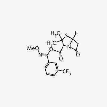 CO/N=C(\OC(=O)[C@@H]1N2C(=O)C[C@H]2SC1(C)C)c1cccc(C(F)(F)F)c1